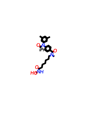 Cc1cc(C)cc(N(C(=O)C(C)C)c2ccc(C(=O)N(C)CCCCCCC(=O)NO)cc2)c1